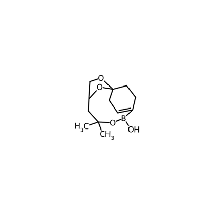 CC1(C)CC2COC3(CC=C(CC3)B(O)O1)O2